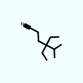 CCC(CC)(CCC#N)C(C)C